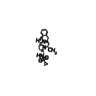 CC(C[C@H](N)Cc1ccccc1F)N1CCC[C@H]1CNS(=O)(=O)C1CC1